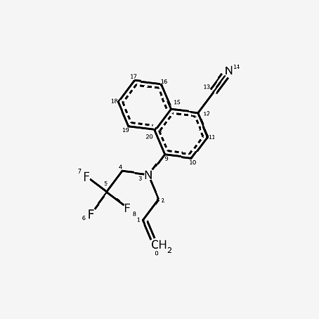 C=CCN(CC(F)(F)F)c1ccc(C#N)c2ccccc12